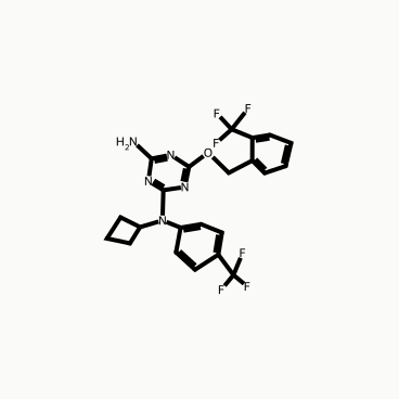 Nc1nc(OCc2ccccc2C(F)(F)F)nc(N(c2ccc(C(F)(F)F)cc2)C2CCC2)n1